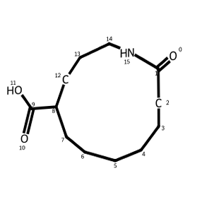 O=C1CCCCCCC(C(=O)O)CCCN1